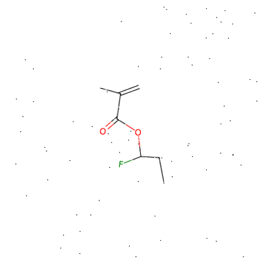 C=C(C)C(=O)OC(F)[CH]C